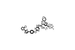 CC(C)(C)c1cc(NC(=O)Nc2cnc(Oc3ccc(-c4cnc(N5CCCC5=O)s4)cc3)nc2)n(C2CCOCC2)n1